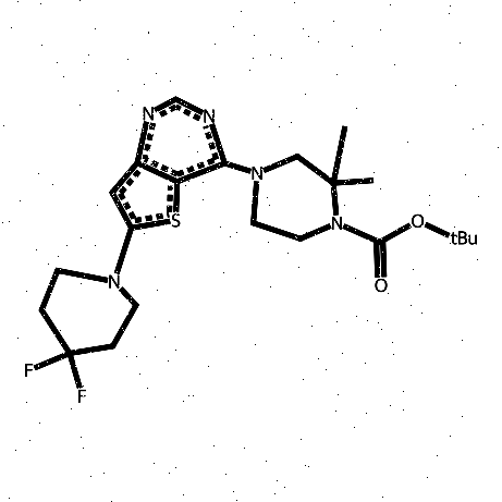 CC(C)(C)OC(=O)N1CCN(c2ncnc3cc(N4CCC(F)(F)CC4)sc23)CC1(C)C